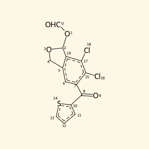 O=COC1OCc2cc(C(=O)c3cccs3)c(Cl)c(Cl)c21